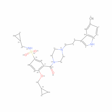 N#Cc1ccc2[nH]cc(CCCN3CCN(C(=O)c4cc(S(=O)(=O)NCC5CC5)ccc4OCC4CC4)CC3)c2c1